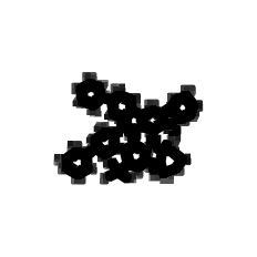 CC(C)(C)c1cc2c3c(c1)C1(C)CCCCC1(C)N3c1c3c(cc4c1sc1ccccc14)-c1ccc(-c4ccccc4)cc1N(c1ccc(-c4ccccc4)cc1)B23